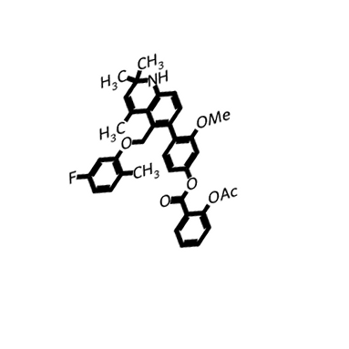 COc1cc(OC(=O)c2ccccc2OC(C)=O)ccc1-c1ccc2c(c1COc1cc(F)ccc1C)C(C)=CC(C)(C)N2